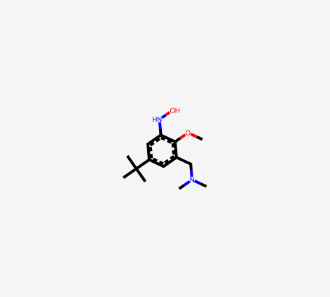 COc1c(CN(C)C)cc(C(C)(C)C)cc1NO